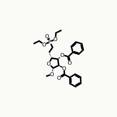 CCOP(=O)(CC[C@H]1O[C@@H](OC)[C@H](OC(=O)c2ccccc2)[C@H]1OC(=O)c1ccccc1)OCC